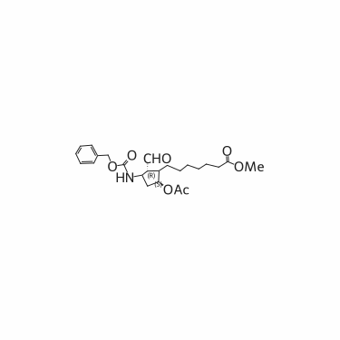 COC(=O)CCCCCCC1[C@@H](C=O)C(NC(=O)OCc2ccccc2)C[C@@H]1OC(C)=O